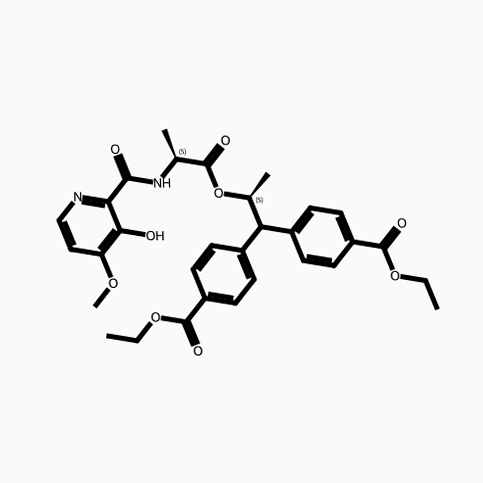 CCOC(=O)c1ccc(C(c2ccc(C(=O)OCC)cc2)[C@H](C)OC(=O)[C@H](C)NC(=O)c2nccc(OC)c2O)cc1